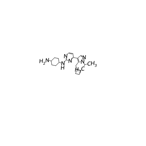 CC(C)n1ncc(-c2ccnc(NC3CCC(N)CC3)n2)c1CC1CCC1